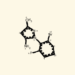 Cc1cc(N)n(-c2c(F)cccc2Br)n1